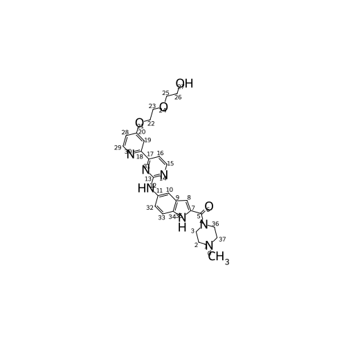 CN1CCN(C(=O)c2cc3cc(Nc4nccc(-c5cc(OCCOCCO)ccn5)n4)ccc3[nH]2)CC1